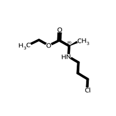 CCOC(=O)[C@@H](C)NCCCCl